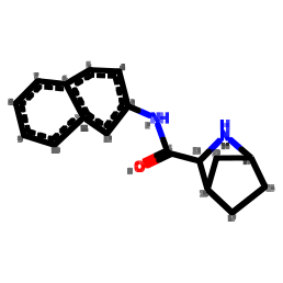 O=C(Nc1ccc2ccccc2c1)C1NC2CCC1C2